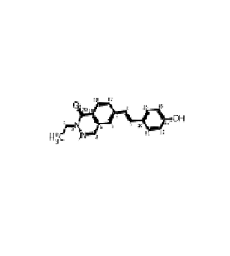 CCn1ncc2cc(C=Cc3ccc(O)cc3)ccc2c1=O